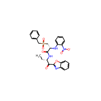 CC[C@H](NC(=O)[C@H](CS(=O)(=O)Cc1ccccc1)Nc1ccccc1[N+](=O)[O-])C(=O)c1nc2ccccc2o1